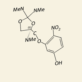 CNC1(NC)OC[C@@](COc2cc(O)ccc2[N+](=O)[O-])(NC)O1